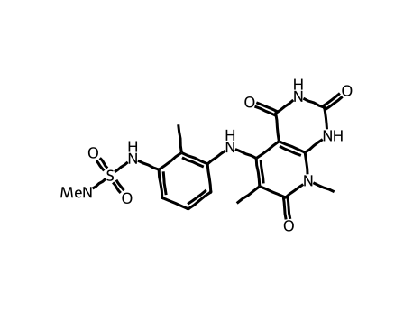 CNS(=O)(=O)Nc1cccc(Nc2c(C)c(=O)n(C)c3[nH]c(=O)[nH]c(=O)c23)c1C